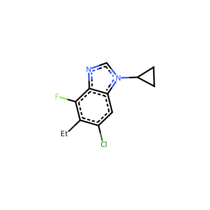 CCc1c(Cl)cc2c(ncn2C2CC2)c1F